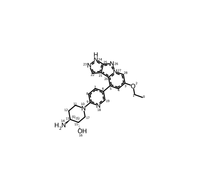 CCOc1cc(-c2ccc(N3CC[C@H](N)[C@@H](O)C3)nc2)c2c3cn[nH]c3nn2c1